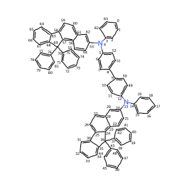 c1ccc(N(c2ccc(-c3ccc(N(c4ccccc4)c4ccc5c6c(ccc5c4)-c4ccccc4C6(c4ccccc4)c4ccccc4)cc3)cc2)c2ccc3c4c(ccc3c2)-c2ccccc2C4(c2ccccc2)c2ccccc2)cc1